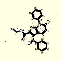 CCOC(=O)c1sc2c(ccc(=O)n2-c2ccccc2)c1C(O)c1ccccc1